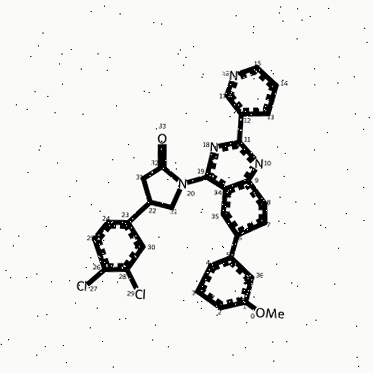 COc1cccc(-c2ccc3nc(-c4cccnc4)nc(N4CC(c5ccc(Cl)c(Cl)c5)CC4=O)c3c2)c1